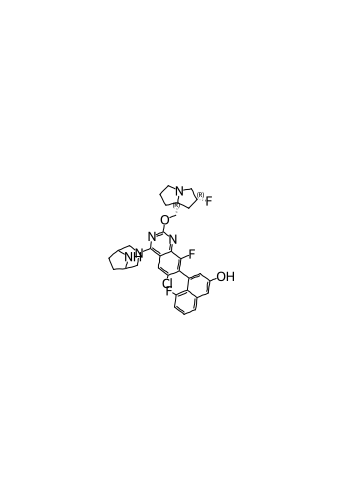 Oc1cc(-c2c(Cl)cc3c(N4CC5CCC(C4)N5)nc(OC[C@]45CCCN4C[C@H](F)C5)nc3c2F)c2c(F)cccc2c1